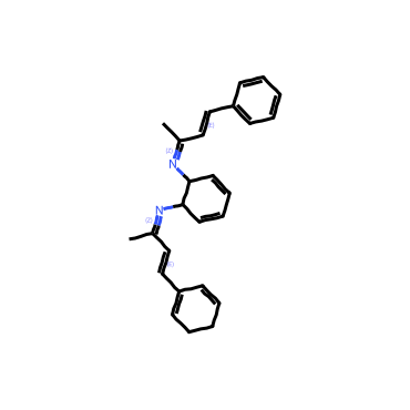 CC(/C=C/C1=CCCC=C1)=N/C1C=CC=CC1/N=C(C)\C=C\c1ccccc1